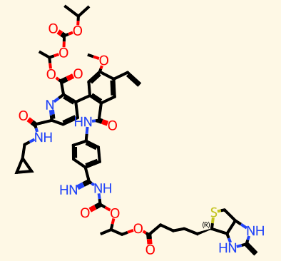 C=Cc1cc(C(=O)Nc2ccc(C(=N)NC(=O)OC(C)COC(=O)CCCC[C@H]3SCC4NC(=C)NC43)cc2)c(-c2ccc(C(=O)NCC3CC3)nc2C(=O)OC(C)OC(=O)OC(C)C)cc1OC